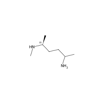 CN[C@@H](C)CCC(C)N